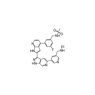 CCNCc1cncc(-c2cc3c(-c4cc5c(-c6cc(F)cc(CNS(C)(=O)=O)c6)ccnc5[nH]4)n[nH]c3cn2)c1